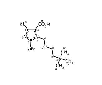 CCc1nc(C(C)C)n(COCC[Si](C)(C)C)c1C(=O)O